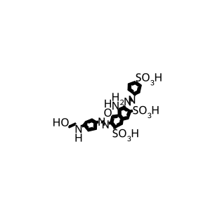 Nc1c(N=Nc2ccc(S(=O)(=O)O)cc2)c(S(=O)(=O)O)cc2cc(S(=O)(=O)O)c(N=Nc3ccc(NCCO)cc3)c(O)c12